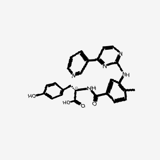 Cc1ccc(C(=O)N[C@@H](Cc2ccc(O)cc2)C(=O)O)cc1Nc1nccc(-c2cccnc2)n1